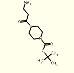 CC(C)(C)OC(=O)N1CCN(C(=O)CCN)CC1